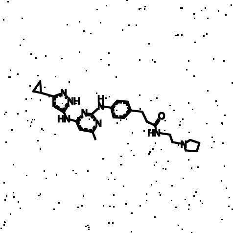 Cc1cc(Nc2cc(C3CC3)n[nH]2)nc(Nc2ccc(CCC(=O)NCCN3CCCC3)cc2)n1